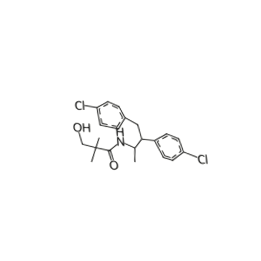 CC(NC(=O)C(C)(C)CO)C(Cc1ccc(Cl)cc1)c1ccc(Cl)cc1